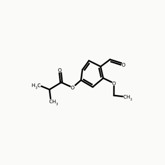 CCOc1cc(OC(=O)C(C)C)ccc1C=O